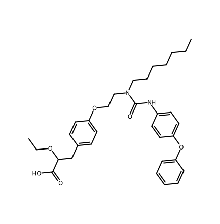 CCCCCCCN(CCOc1ccc(CC(OCC)C(=O)O)cc1)C(=O)Nc1ccc(Oc2ccccc2)cc1